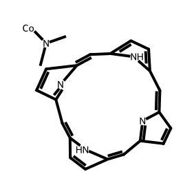 C1=Cc2cc3ccc(cc4nc(cc5ccc(cc1n2)[nH]5)C=C4)[nH]3.C[N](C)[Co]